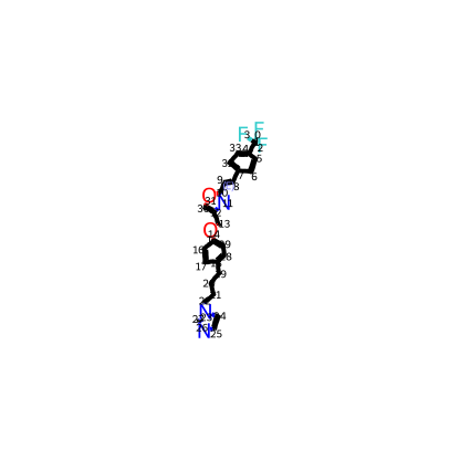 FC(F)(F)c1ccc(/C=C/c2nc(COc3ccc(CCCCn4ccnc4)cc3)co2)cc1